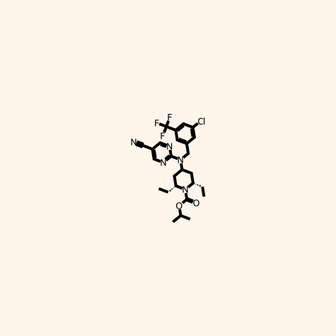 CC[C@@H]1CC(N(Cc2cc(Cl)cc(C(F)(F)F)c2)c2ncc(C#N)cn2)C[C@H](CC)N1C(=O)OC(C)C